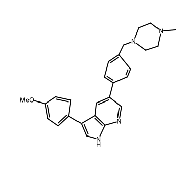 COc1ccc(-c2c[nH]c3ncc(-c4ccc(CN5CCN(C)CC5)cc4)cc23)cc1